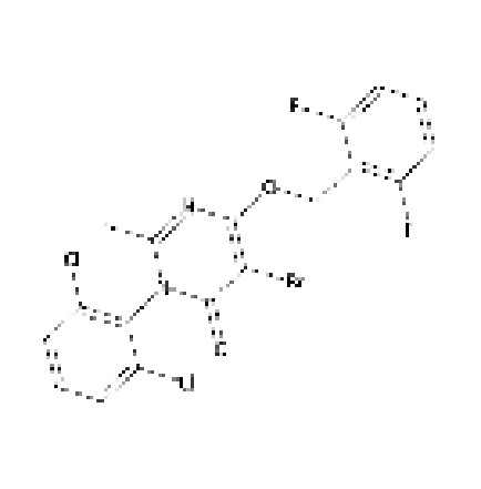 Cc1nc(OCc2c(F)cccc2F)c(Br)c(=O)n1-c1c(Cl)cccc1Cl